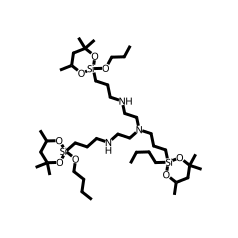 CCCCO[Si]1(CCCNCCN(CCC[Si]2(CCCC)OC(C)CC(C)(C)O2)CCNCCC[Si]2(OCCC)OC(C)CC(C)(C)O2)OC(C)CC(C)(C)O1